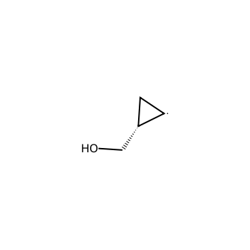 OC[C@H]1[CH]C1